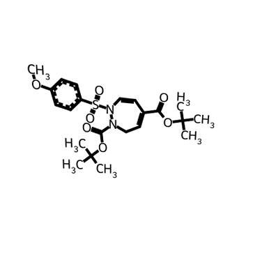 COc1ccc(S(=O)(=O)N2C=CC(C(=O)OC(C)(C)C)=CCN2C(=O)OC(C)(C)C)cc1